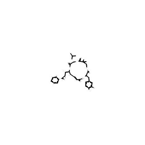 CC(C)C[C@@H]1OC(=O)C(C)(C)CNC(=O)C(Cc2ccc(O)c(Cl)c2)NC(=O)/C=C/CC([C@H](C)[C@H]2O[C@H]2c2ccccc2)OC1=O